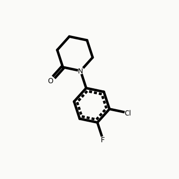 O=C1CCCCN1c1ccc(F)c(Cl)c1